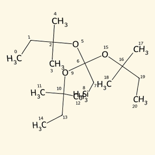 CCC(C)(C)OC(C[SiH3])(OC(C)(C)CC)OC(C)(C)CC